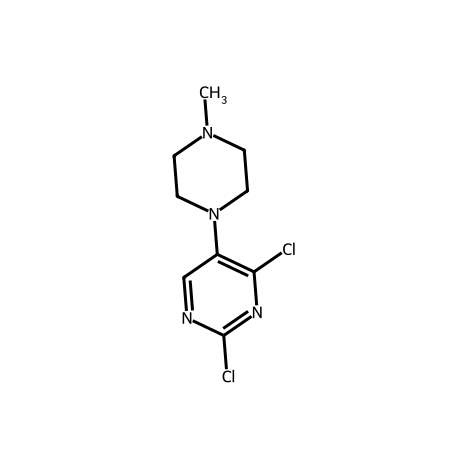 CN1CCN(c2cnc(Cl)nc2Cl)CC1